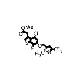 COC(=O)Cc1csc2c(F)c(OCc3cc(C(F)(F)F)nn3C)cc(Cl)c12